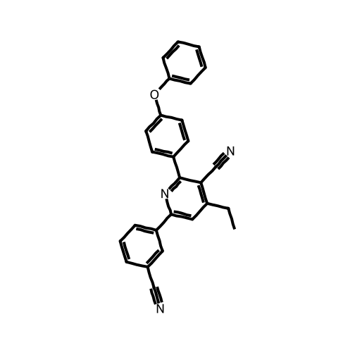 CCc1cc(-c2cccc(C#N)c2)nc(-c2ccc(Oc3ccccc3)cc2)c1C#N